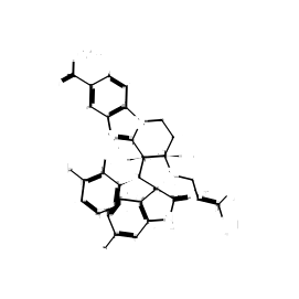 COC(=O)c1ccc2c(c1)nc1n2CC[C@H]2[C@@H]1[C@H](c1cccc(Cl)c1F)[C@]1(C(=O)Nc3cc(Cl)ccc31)N2CC=C(C)C